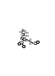 CCNC(=O)[C@H]1O[C@@H](n2cnc3c(NCC(c4ccccc4)c4ccccc4)nc(CNC(=O)NCCN4CCc5ccccc5C4)nc32)[C@H](O)[C@@H]1O